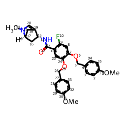 COc1ccc(COc2cc(F)c(C(=O)N[C@@H]3C[C@@H]4CC3=CN4C)cc2OCc2ccc(OC)cc2)cc1